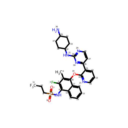 Cc1c(F)c(NS(=O)(=O)CCC(F)(F)F)c2ccccc2c1Oc1ncccc1-c1ccnc(NC2CCC(N)CC2)n1